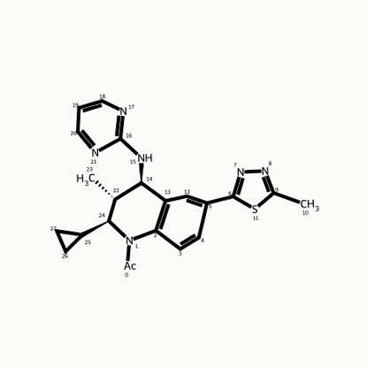 CC(=O)N1c2ccc(-c3nnc(C)s3)cc2[C@H](Nc2ncccn2)[C@@H](C)[C@@H]1C1CC1